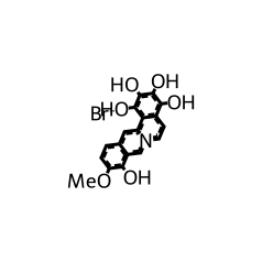 COc1ccc2cc3c4c(O)c(O)c(O)c(O)c4cc[n+]3cc2c1O.[Br-]